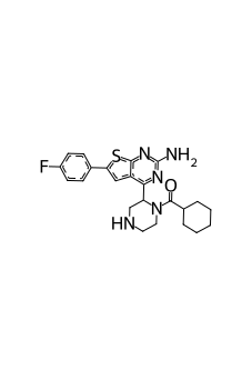 Nc1nc(C2CNCCN2C(=O)C2CCCCC2)c2cc(-c3ccc(F)cc3)sc2n1